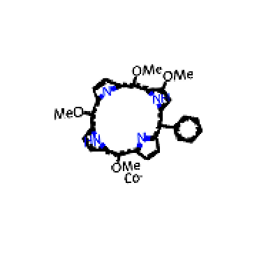 COc1c2nc(c(-c3ccccc3)c3cc(OC)c([nH]3)c(OC)c3nc(c(OC)c4ccc1[nH]4)C=C3)C=C2.[Co]